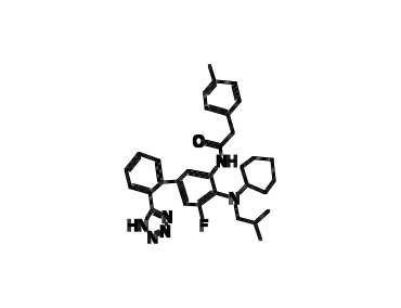 Cc1ccc(CC(=O)Nc2cc(-c3ccccc3-c3nnn[nH]3)cc(F)c2N(CC(C)C)C2CCCCC2)cc1